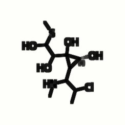 CNC(C(C)Cl)C1[C@@H](O)C1(O)C(O)C(O)SC